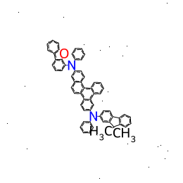 CC1(C)c2ccccc2-c2ccc(N(c3ccccc3)c3ccc4c(c3)c3ccccc3c3c5ccc(N(c6ccccc6)c6cccc7c6oc6ccccc67)cc5ccc43)cc21